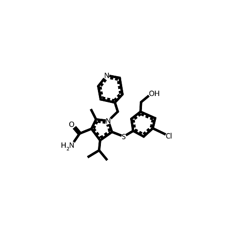 Cc1c(C(N)=O)c(C(C)C)c(Sc2cc(Cl)cc(CO)c2)n1Cc1ccncc1